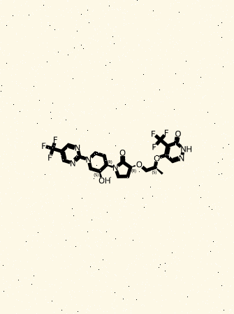 C[C@@H](CO[C@@H]1CCN([C@@H]2CCN(c3ncc(C(F)(F)F)cn3)C[C@@H]2O)C1=O)Oc1cn[nH]c(=O)c1C(F)(F)F